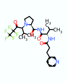 CC(C)C(C(=O)C(F)(F)C(F)(F)F)N1CCC[C@H]1C(=O)NC(=O)[C@@H](NC(=O)CCc1cccnc1)C(C)C